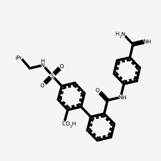 CC(C)CNS(=O)(=O)c1ccc(-c2ccccc2C(=O)Nc2ccc(C(=N)N)cc2)c(C(=O)O)c1